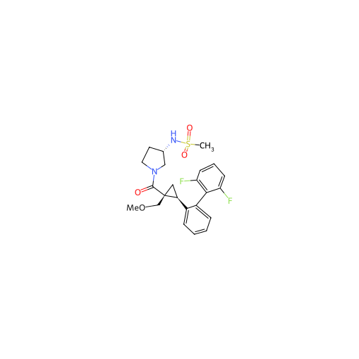 COC[C@@]1(C(=O)N2CC[C@H](NS(C)(=O)=O)C2)C[C@H]1c1ccccc1-c1c(F)cccc1F